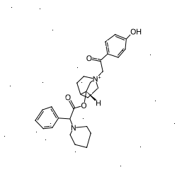 O=C(C[N+]12CCC(CC1)[C@@H](OC(=O)C(c1ccccc1)N1CCCCC1)C2)c1ccc(O)cc1